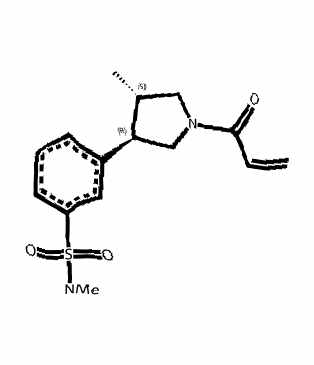 C=CC(=O)N1C[C@@H](C)[C@H](c2cccc(S(=O)(=O)NC)c2)C1